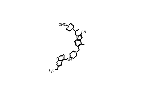 Cc1c(CN2CCC(Nc3ncnc4sc(CC(F)(F)F)cc34)CC2)ccc2c1cc(C#N)n2CC(C)N1CCN(C=O)CC1